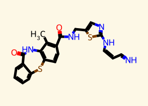 Cc1c(C(=O)NCc2cnc(N/C=C\C=N)s2)ccc2c1NC(=O)c1ccccc1S2